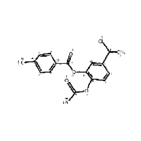 [CH2]C(Cl)c1ccc(OC(=O)C(C)C)c(OC(=O)c2ccc(C)cc2)c1